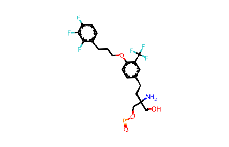 NC(CO)(CCc1ccc(OCCCc2ccc(F)c(F)c2F)c(C(F)(F)F)c1)COP=O